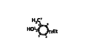 CCc1ccc(O)c(C)c1